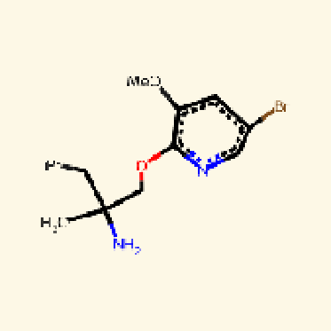 COc1cc(Br)cnc1OCC(C)(N)CC(C)C